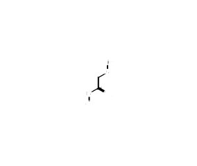 CC(C)NCC(=O)NC=O